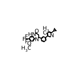 CCOc1cc2c(cc1C(F)(F)F)NC(=O)CC(c1cccc(-c3cnc(C4CC4)cc3C)c1)=N2